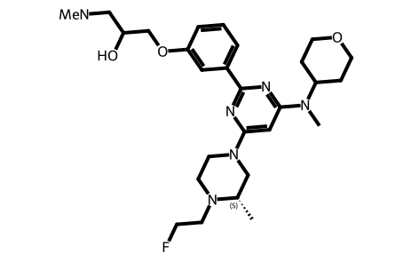 CNCC(O)COc1cccc(-c2nc(N3CCN(CCF)[C@@H](C)C3)cc(N(C)C3CCOCC3)n2)c1